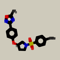 COc1ccc(S(=O)(=O)N2CC[C@@H](Oc3ccc(-c4noc(C(F)(F)F)n4)cc3)C2)cc1